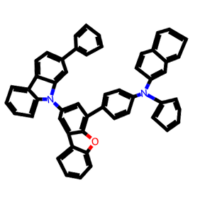 c1ccc(-c2ccc3c4ccccc4n(-c4cc(-c5ccc(N(c6ccccc6)c6ccc7ccccc7c6)cc5)c5oc6ccccc6c5c4)c3c2)cc1